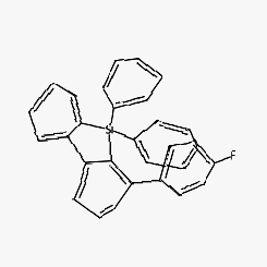 Fc1ccc(-c2cccc3c2[Si](c2ccccc2)(c2ccccc2)c2ccccc2-3)cc1